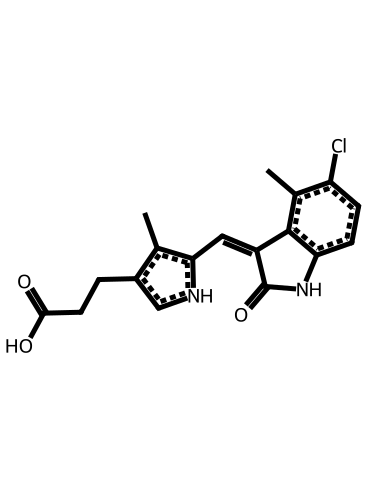 Cc1c(CCC(=O)O)c[nH]c1C=C1C(=O)Nc2ccc(Cl)c(C)c21